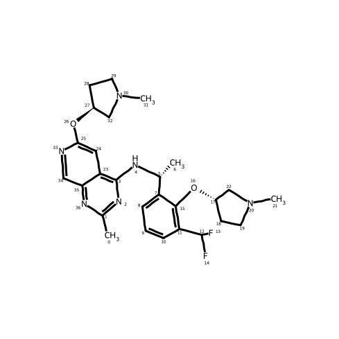 Cc1nc(N[C@H](C)c2cccc(C(F)F)c2O[C@H]2CCN(C)C2)c2cc(O[C@H]3CCN(C)C3)ncc2n1